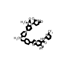 CC(C)Oc1cc2nc(C3CCC(CN(C)C4CCN(c5ccc6c(c5)n(C)c(=O)n6C5CCC(=O)NC5=O)CC4)CC3)cn2cc1C(=O)Nc1cccc(C(F)(F)F)n1